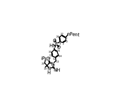 CCCCCc1ccc(S(=O)(=O)Nc2ccc(CN3C(=N)NC(C)(CC(C)C)C3=O)cc2)cc1